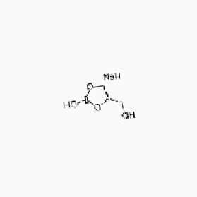 OCC1COB(O)O1.[NaH]